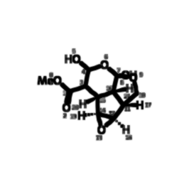 COC(=O)C1C(O)O[C@]2(O)OC[C@@H]3[C@H]4O[C@H]4[C@H]1[C@@H]32